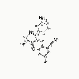 N#Cc1cc(F)ccc1Cn1c(N2CCCC(N)C2)ncc(F)c1=O